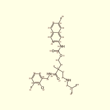 CC(CCNCC(F)F)(CCOC(=O)Nc1cc2cc(F)ccc2cn1)C(=O)NCc1cccc(F)c1Cl